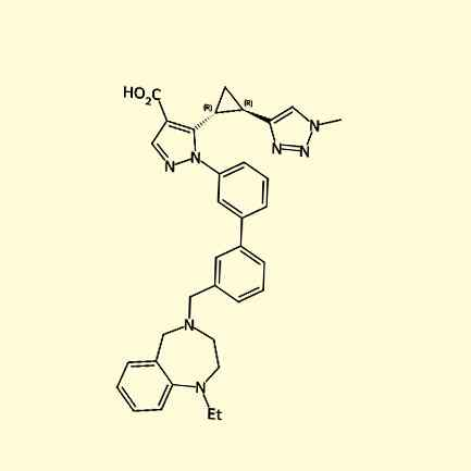 CCN1CCN(Cc2cccc(-c3cccc(-n4ncc(C(=O)O)c4[C@@H]4C[C@H]4c4cn(C)nn4)c3)c2)Cc2ccccc21